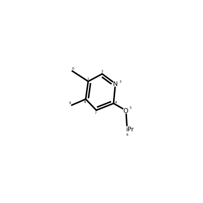 Cc1cnc(OC(C)C)cc1C